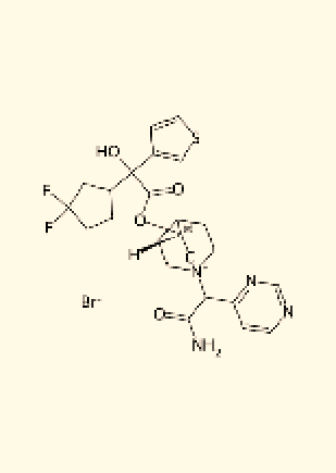 NC(=O)C(c1ccncn1)[N+]12CCC(CC1)[C@@H](OC(=O)C(O)(c1ccsc1)C1CCC(F)(F)C1)C2.[Br-]